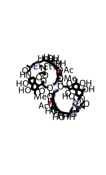 CCN(CC)C(=O)COc1cc2c(O)c3c(O)c(C)c4c(c13)C(=O)[C@@](C)(O/C=C/[C@H](OC)[C@@H](C)[C@@H](OC(C)=O)[C@H](C)[C@H](O)[C@H](C)[C@@H](O)[C@@H](C)/C=C/C=C(/C)C(=O)N2)O4.CO[C@H]1/C=C/O[C@@]2(C)Oc3c(C)c(O)c4c(O)c(c(/C=N/N5CCN(C)CC5)c(O)c4c3C2=O)NC(=O)/C(C)=C\C=C\[C@H](C)[C@H](O)[C@@H](C)[C@@H](O)[C@@H](C)[C@H](OC(C)=O)[C@@H]1C